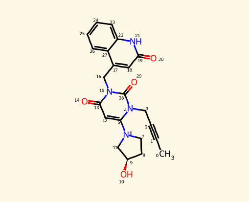 CC#CCn1c(N2CC[C@@H](O)C2)cc(=O)n(Cc2cc(=O)[nH]c3ccccc23)c1=O